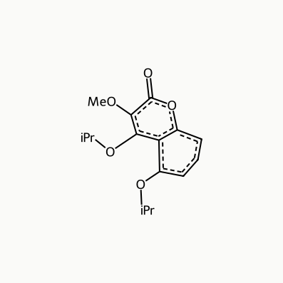 COc1c(OC(C)C)c2c(OC(C)C)cccc2oc1=O